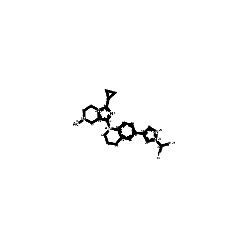 CC(=O)N1CCn2c(C3CC3)nc(N3CCCc4cc(-c5cnn(C(F)F)c5)ccc43)c2C1